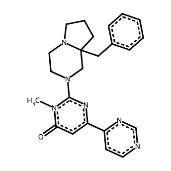 Cn1c(N2CCN3CCCC3(Cc3ccccc3)C2)nc(-c2ccncn2)cc1=O